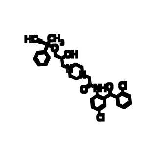 C#CC(C)(OCC(O)CN1CCN(CC(=O)Nc2ccc(Cl)cc2C(=O)c2ccccc2Cl)CC1)c1ccccc1